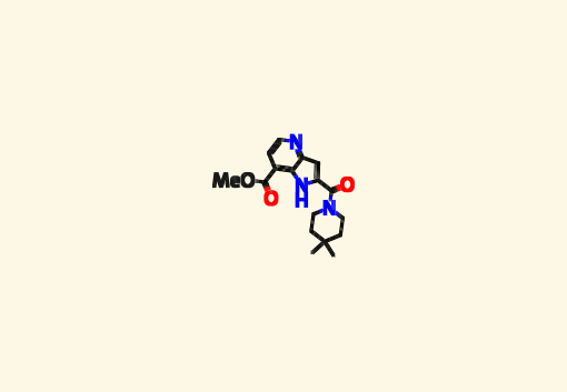 COC(=O)c1ccnc2cc(C(=O)N3CCC(C)(C)CC3)[nH]c12